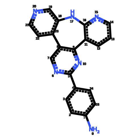 Nc1ccc(-c2ncc3c(n2)-c2cccnc2Nc2cnccc2-3)cc1